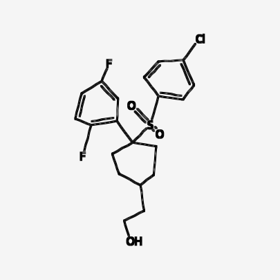 O=S(=O)(c1ccc(Cl)cc1)C1(c2cc(F)ccc2F)CCC(CCO)CC1